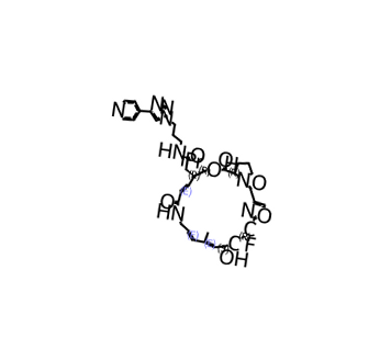 CC1=C\[C@@H](O)C[C@@H](F)Cc2nc(co2)C(=O)N2CCC[C@@H]2C(=O)O[C@H](C(C)C)[C@H](CC(=O)NCCCn2cc(-c3ccncc3)nn2)/C=C/C(=O)NC\C=C\1